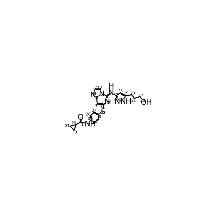 O=C(Nc1ccc(Sc2cc3nccn3c(Nc3cc(CCCO)[nH]n3)n2)cc1)C1CC1